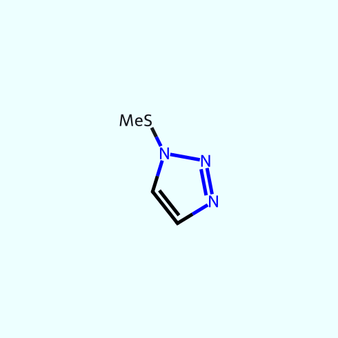 [CH2]Sn1ccnn1